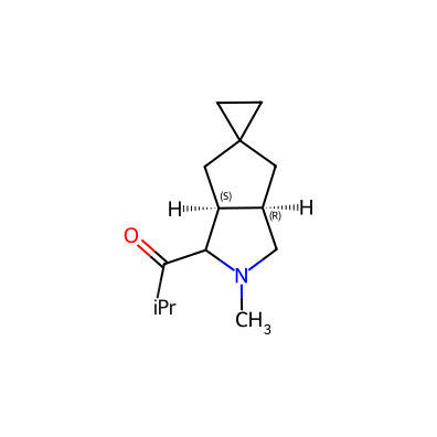 CC(C)C(=O)C1[C@H]2CC3(CC3)C[C@H]2CN1C